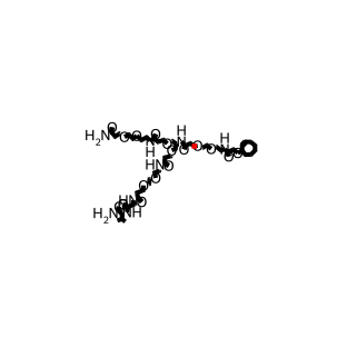 CC(C)[C@H](NC(=O)CNC(=O)CCOCCOCCNC(=O)CCOCC(COCCC(=O)NCCOCCOCCC(N)=O)NC(=O)CCOCCOCCNC(=O)COC1C#CCCCCC1)C(N)=O